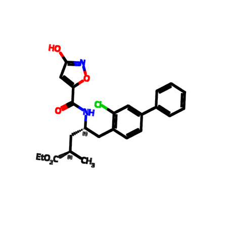 CCOC(=O)[C@H](C)C[C@@H](Cc1ccc(-c2ccccc2)cc1Cl)NC(=O)c1cc(O)no1